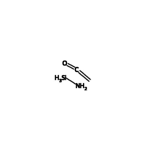 C=C=O.N[SiH3]